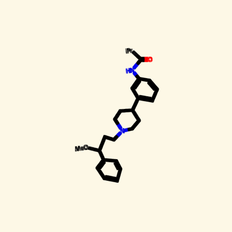 COC(CCN1CCC(c2cccc(NC(=O)C(C)C)c2)CC1)c1ccccc1